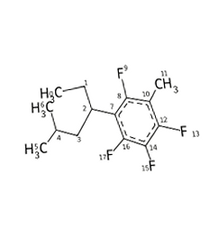 CCC(CC(C)C)c1c(F)c(C)c(F)c(F)c1F